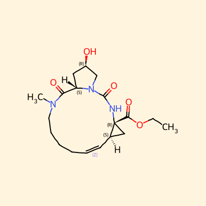 CCOC(=O)[C@@]12C[C@H]1/C=C\CCCCN(C)C(=O)[C@@H]1C[C@@H](O)CN1C(=O)N2